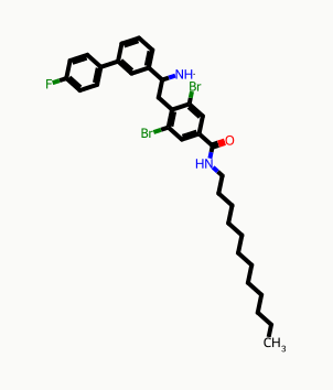 CCCCCCCCCCCCNC(=O)c1cc(Br)c(CC([NH])c2cccc(-c3ccc(F)cc3)c2)c(Br)c1